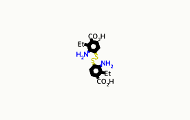 CCc1c(C(=O)O)ccc(SSc2ccc(C(=O)O)c(CC)c2N)c1N